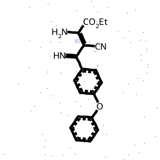 CCOC(=O)/C(N)=C(\C#N)C(=N)c1ccc(Oc2ccccc2)cc1